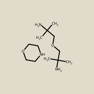 C1COCCN1.CC(C)(N)COCC(C)(C)N